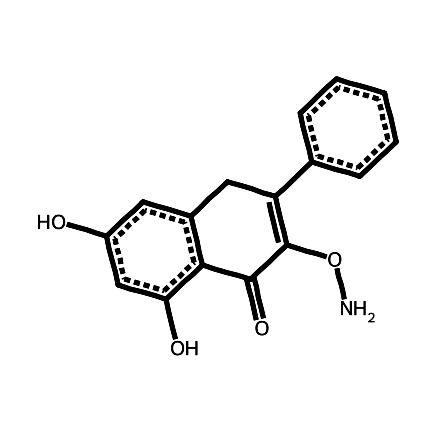 NOC1=C(c2ccccc2)Cc2cc(O)cc(O)c2C1=O